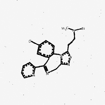 CCN(C)CCc1nnc2n1-c1ccc(Cl)cc1C(c1ccccn1)=NC2